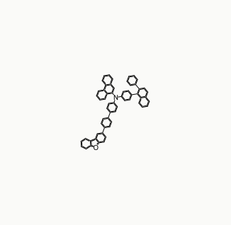 c1ccc(-c2ccc3ccccc3c2-c2ccc(N(c3ccc(-c4ccc(-c5ccc6oc7ccccc7c6c5)cc4)cc3)c3cc4ccccc4c4ccccc34)cc2)cc1